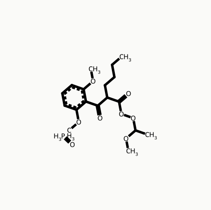 CCCCC(C(=O)OOC(C)OC)C(=O)c1c(OC)cccc1OC.O=[PH3]